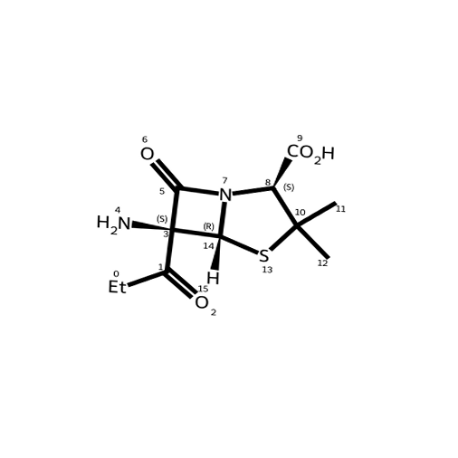 CCC(=O)[C@]1(N)C(=O)N2[C@@H](C(=O)O)C(C)(C)S[C@@H]21